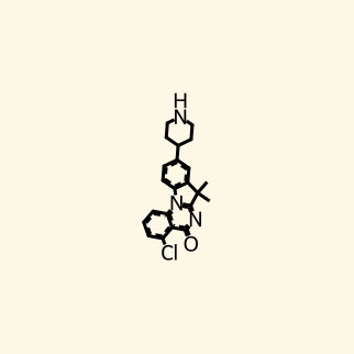 CC1(C)c2cc(C3CCNCC3)ccc2-n2c1nc(=O)c1c(Cl)cccc12